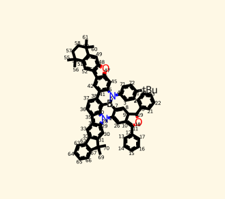 CC(C)(C)c1ccc(N2B3C4=CC5C(=C(c6ccccc6)OC5c5ccccc5)C=C4n4c5cc6c(cc5c5ccc(c3c54)-c3cc4c(cc32)oc2cc3c(cc24)C(C)(C)CCC3(C)C)-c2ccccc2C6(C)C)cc1